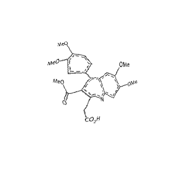 COC(=O)c1c(CC(=O)O)nc2cc(OC)c(OC)cc2c1-c1ccc(OC)c(OC)c1